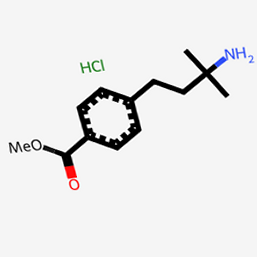 COC(=O)c1ccc(CCC(C)(C)N)cc1.Cl